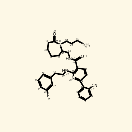 N#Cc1ccccc1-c1ccc(C(=O)NCC2CCCCC(=O)N2CCCN)c(NCCc2cccc(F)c2)n1